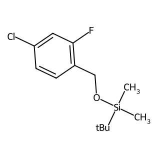 CC(C)(C)[Si](C)(C)OCc1ccc(Cl)cc1F